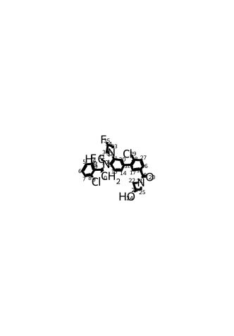 C=C(c1c(F)cccc1Cl)N(C)c1ccc(-c2cc(C(=O)N3CC(O)C3)ccc2Cl)cc1N1CC(F)C1